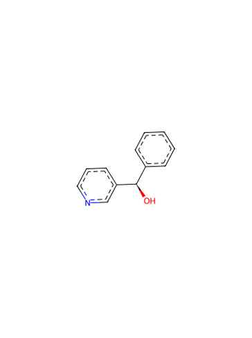 O[C@H](c1ccccc1)c1cccnc1